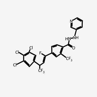 O=C(NNc1cccnc1)c1ccc(/C(F)=C/C(c2cc(Cl)c(Cl)c(Cl)c2)C(F)(F)F)cc1C(F)(F)F